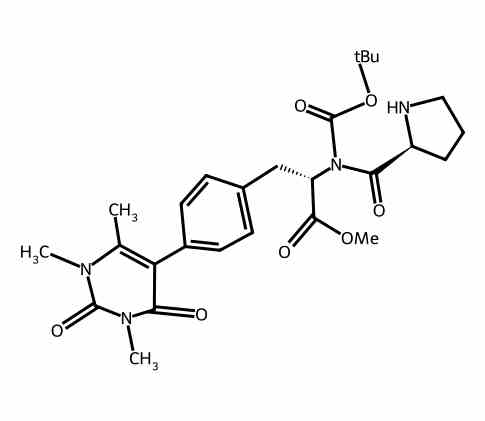 COC(=O)[C@H](Cc1ccc(-c2c(C)n(C)c(=O)n(C)c2=O)cc1)N(C(=O)OC(C)(C)C)C(=O)[C@@H]1CCCN1